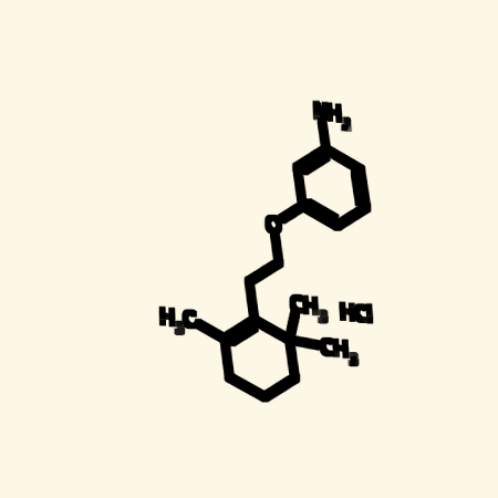 CC1=C(CCOc2cccc(N)c2)C(C)(C)CCC1.Cl